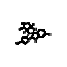 O=C1NC[C@H]2N[C@@]3(C(=O)Nc4cc(Cl)ccc43)[C@H](c3cc(Cl)cs3)[C@@H]12